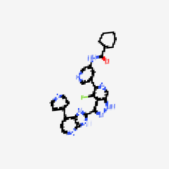 O=C(Nc1cncc(-c2ncc3[nH]nc(-c4nc5c(-c6ccncc6)ccnc5[nH]4)c3c2F)c1)C1CCCCC1